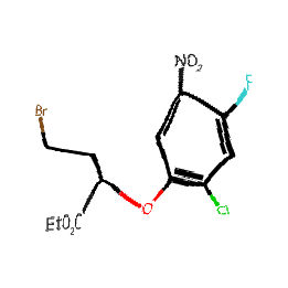 CCOC(=O)C(CCBr)Oc1cc([N+](=O)[O-])c(F)cc1Cl